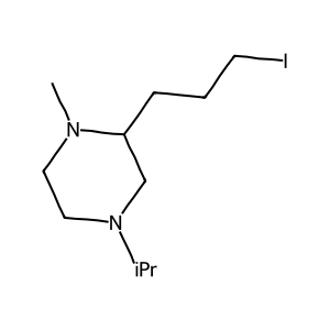 CC(C)N1CCN(C)C(CCCI)C1